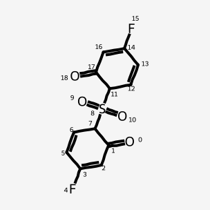 O=C1C=C(F)C=CC1S(=O)(=O)C1C=CC(F)=CC1=O